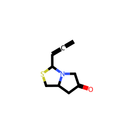 C=C=CC1SCC2CC(=O)CN21